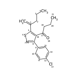 C=C(CCC)c1snc(-c2ccc(Cl)cc2)c1C(=O)CCC